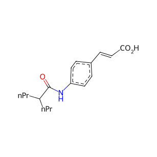 CCCC(CCC)C(=O)Nc1ccc(C=CC(=O)O)cc1